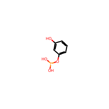 Oc1cccc(OP(O)O)c1